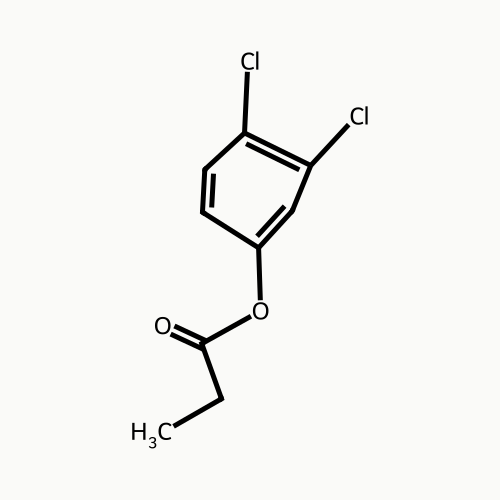 CCC(=O)Oc1ccc(Cl)c(Cl)c1